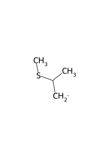 [CH2]C(C)SC